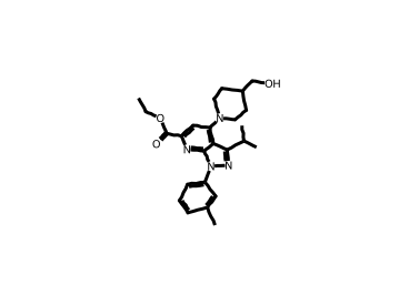 CCOC(=O)c1cc(N2CCC(CO)CC2)c2c(C(C)C)nn(-c3cccc(C)c3)c2n1